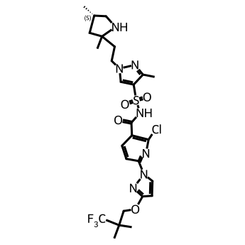 Cc1nn(CCC2(C)C[C@H](C)CN2)cc1S(=O)(=O)NC(=O)c1ccc(-n2ccc(OCC(C)(C)C(F)(F)F)n2)nc1Cl